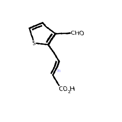 O=Cc1ccsc1/C=C/C(=O)O